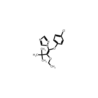 CCO/C(=C(\Oc1ccc(Cl)cc1)n1cncn1)C(C)(C)C